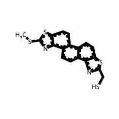 CSc1nc2c(ccc3c4ccc5sc(CS)nc5c4ccc32)s1